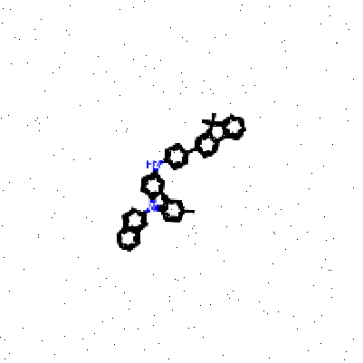 Cc1ccc2c(c1)c1cc(Nc3ccc(-c4ccc5c(c4)C(C)(C)c4ccccc4-5)cc3)ccc1n2-c1ccc2ccccc2c1